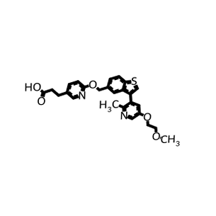 COCCOc1cnc(C)c(-c2csc3ccc(COc4ccc(CCC(=O)O)cn4)cc23)c1